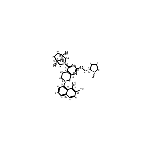 CN1CCC[C@H]1COc1nc2c(c(N3C[C@H]4CC[C@@H](C3)N4)n1)CCN(c1cccc3ccc(F)c(Cl)c13)C2